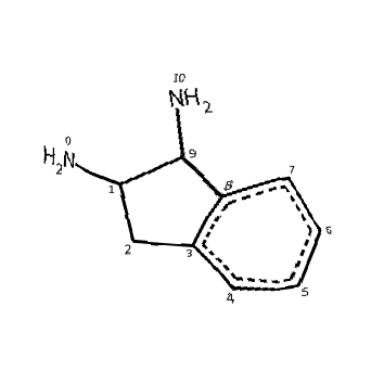 NC1Cc2ccccc2C1N